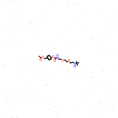 CC(=O)OCc1ccc(OC(=O)NCCOCCOCCNC(C)(C)C)cc1